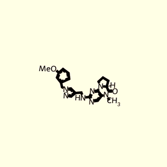 COc1cccc(Cn2cc(CNc3ncc4c(n3)N3CCC[C@H]3C(=O)N4C)cn2)c1